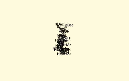 CCCCCCCCCCCCC/C=C/[C@@H](O)[C@H](CO[C@@H]1OC(CO)[C@@H](O[C@@H]2OC(CO)[C@H](O)[C@H](O[C@@H]3OC(CO)[C@@H](O)[C@H](O[C@@H]4OC(CO)[C@H](O)[C@H](O[C@]5(C(=O)O)CC(O)[C@@H](NC(C)=O)C([C@H](O)[C@H](O)CO)O5)C4O)C3NC(C)=O)C2O)[C@H](O)C1O)NC(=O)CCCCCCCCCCCCCCCCC